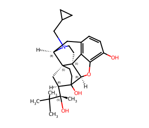 CC(C)(C)[C@@](C)(O)[C@H]1C[C@@]23CCC1(O)[C@@H]1Oc4c(O)ccc5c4[C@@]12CCN(CC1CC1)[C@@H]3C5